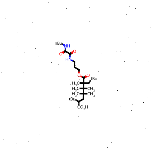 CCCCNC(=O)C(=O)NCCCOC(=O)C(C)(CC(C)(C)C)C(C)(C)C(C)(C)CC(C(=O)O)C(C)(C)C